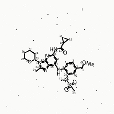 COCc1ccc(Nc2cc(NC(=O)C3CC3)nc3c2nc(C)n3C2CCCCO2)c(N(C)S(C)(=O)=O)c1